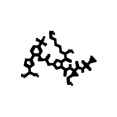 C=CCCCCN(C)C(=O)C1CC(OC(=O)Nc2cc(C(F)(F)F)ccc2-c2nc(C(C)C)cs2)CC1C(=O)NC1(C(=O)NS(=O)(=O)C2CC2)CC1C=C